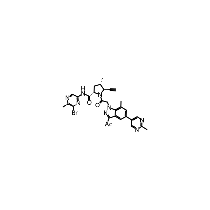 C#C[C@@H]1[C@@H](C)C[C@@H](C(=O)Nc2cnc(C)c(Br)n2)N1C(=O)Cn1nc(C(C)=O)c2cc(-c3cnc(C)nc3)cc(C)c21